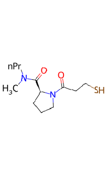 CCCN(C)C(=O)[C@@H]1CCCN1C(=O)CCS